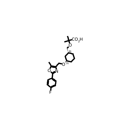 Cc1oc(-c2ccc(F)cc2)nc1CO[C@H]1CCC[C@@H](COC(C)(C)C(=O)O)C1